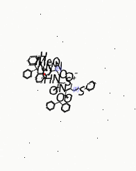 CO/N=C(/C(=O)NC1C(=O)N2C(C(=O)OC(c3ccccc3)c3ccccc3)=C(/C=C/Sc3ccccc3)C[S+]([O-])C12)c1csc(NC(c2ccccc2)(c2ccccc2)c2ccccc2)n1